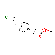 COC(=O)C(C)(C)c1ccc(CCCl)cc1